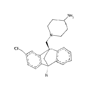 NC1CCN(C[C@]23C[C@@H](c4ccccc42)c2ccc(Cl)cc23)CC1